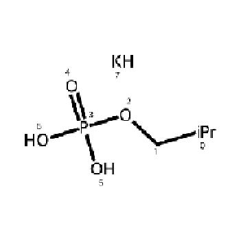 CC(C)COP(=O)(O)O.[KH]